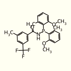 COc1cccc(C)c1P(NC(=O)c1cc(C)cc(C(F)(F)F)c1)c1c(C)cccc1OC